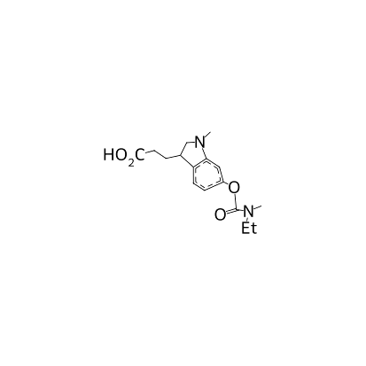 CCN(C)C(=O)Oc1ccc2c(c1)N(C)CC2CCC(=O)O